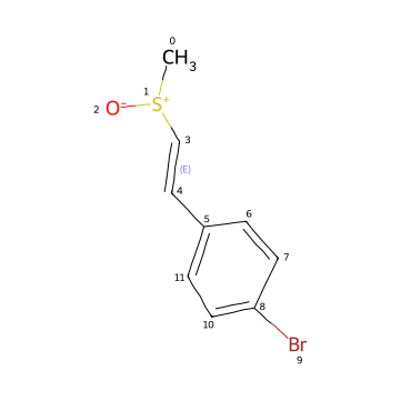 C[S+]([O-])/C=C/c1ccc(Br)cc1